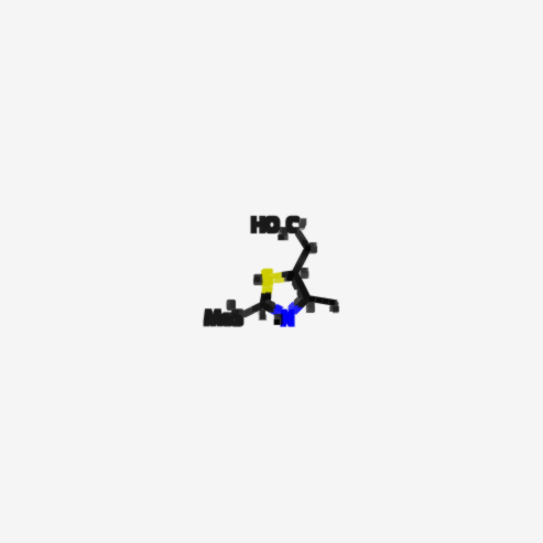 CSc1nc(C)c(CC(=O)O)s1